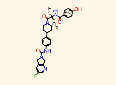 CC(C)(NC(=O)C12CCC(O)(CC1)CC2)C(=O)N1CCC(c2ccc(NC(=O)N3Cc4cc(F)cnc4C3)cc2)CC1